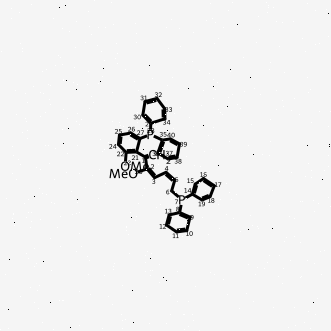 C=C(/C(=C\C=C/CP(c1ccccc1)c1ccccc1)OC)c1c(OC)cccc1P(c1ccccc1)c1ccccc1